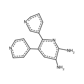 Nc1cc(-c2ccncc2)c(-c2cccnc2)nc1N